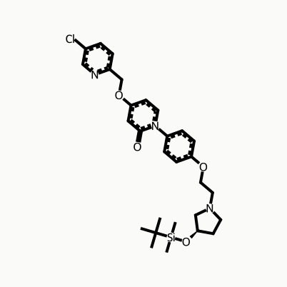 CC(C)(C)[Si](C)(C)O[C@@H]1CCN(CCOc2ccc(-n3ccc(OCc4ccc(Cl)cn4)cc3=O)cc2)C1